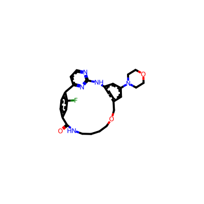 O=C1NCCCCOCc2cc(cc(N3CCOCC3)c2)Nc2nccc(n2)-c2ccc1cc2F